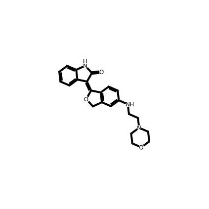 O=C1Nc2ccccc2C1=C1OCc2cc(NCCN3CCOCC3)ccc21